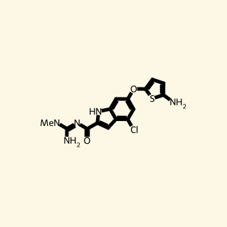 CNC(N)=NC(=O)c1cc2c(Cl)cc(Oc3ccc(N)s3)cc2[nH]1